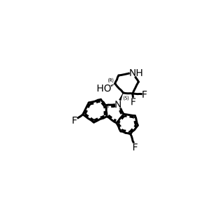 O[C@@H]1CNCC(F)(F)[C@H]1n1c2ccc(F)cc2c2cc(F)ccc21